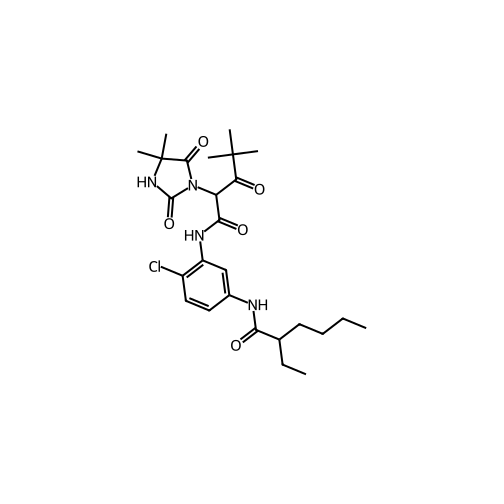 CCCCC(CC)C(=O)Nc1ccc(Cl)c(NC(=O)C(C(=O)C(C)(C)C)N2C(=O)NC(C)(C)C2=O)c1